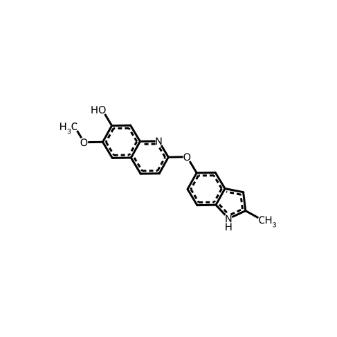 COc1cc2ccc(Oc3ccc4[nH]c(C)cc4c3)nc2cc1O